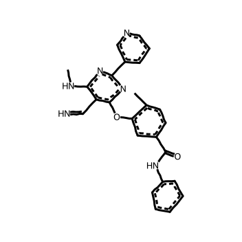 CNc1nc(-c2cccnc2)nc(Oc2cc(C(=O)Nc3ccccc3)ccc2C)c1C=N